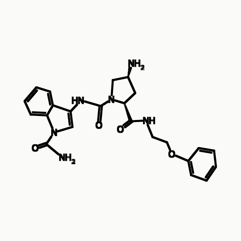 NC(=O)n1cc(NC(=O)N2C[C@@H](N)C[C@H]2C(=O)NCCOc2ccccc2)c2ccccc21